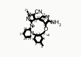 Cc1ccc2c(c1)[C@@H](C)Oc1cc(cnc1N)-c1c(nn(C)c1C#N)/N=C1\C=CC=CN12